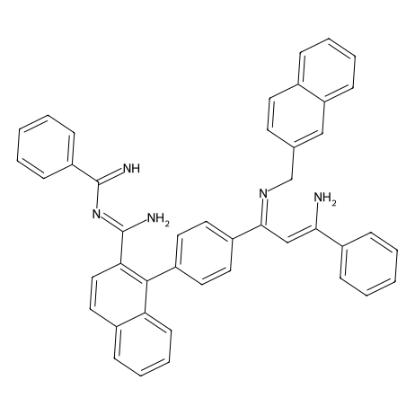 N=C(/N=C(\N)c1ccc2ccccc2c1-c1ccc(C(/C=C(\N)c2ccccc2)=N/Cc2ccc3ccccc3c2)cc1)c1ccccc1